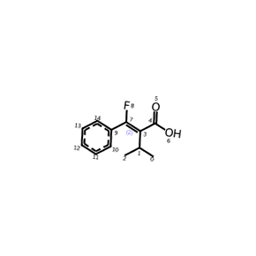 CC(C)/C(C(=O)O)=C(/F)c1ccccc1